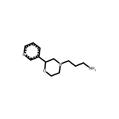 NCCCN1CCOC(c2cccnc2)C1